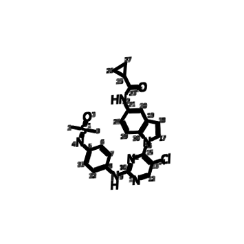 CS(C)(=O)=Nc1ccc(Nc2ncc(Cl)c(-n3ccc4cc(NC(=O)C5CC5)ccc43)n2)cc1